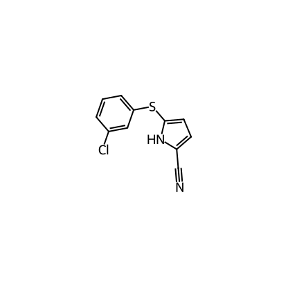 N#Cc1ccc(Sc2cccc(Cl)c2)[nH]1